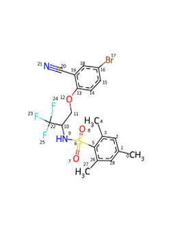 Cc1cc(C)c(S(=O)(=O)NC(COc2ccc(Br)cc2C#N)C(F)(F)F)c(C)c1